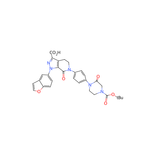 CC(C)(C)OC(=O)N1CCN(c2ccc(N3CCc4c(C(=O)O)nn(-c5ccc6occc6c5)c4C3=O)cc2)C(=O)C1